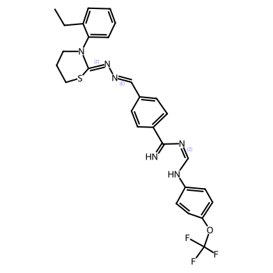 CCc1ccccc1N1CCCS/C1=N\N=C\c1ccc(C(=N)/N=C\Nc2ccc(OC(F)(F)F)cc2)cc1